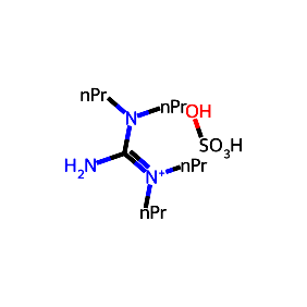 CCCN(CCC)C(N)=[N+](CCC)CCC.O=S(=O)(O)O